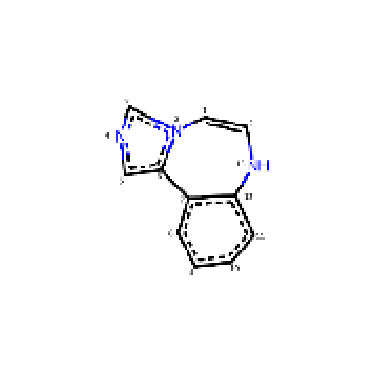 C1=Cn2cncc2-c2ccccc2N1